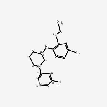 CCOc1cc(F)ccc1O[C@@H]1CCCN(c2cncc(Cl)n2)C1